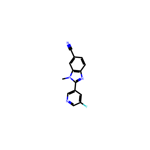 Cn1c(-c2cncc(F)c2)nc2ccc(C#N)cc21